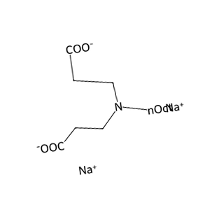 CCCCCCCCN(CCC(=O)[O-])CCC(=O)[O-].[Na+].[Na+]